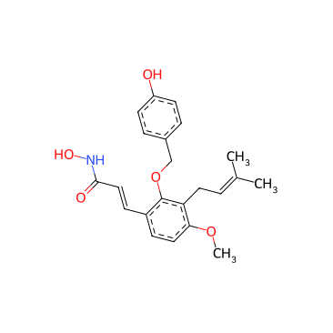 COc1ccc(/C=C/C(=O)NO)c(OCc2ccc(O)cc2)c1CC=C(C)C